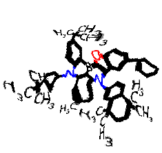 Cc1cc2c3c(c1)N(c1ccc4c(c1)C(C)(C)CCC4(C)C)c1c(oc4ccc(-c5ccccc5)cc14)B3c1cc(C(C)(C)C)ccc1N2c1ccc(C(C)(C)C)cc1